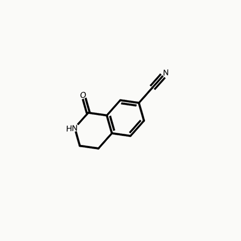 N#Cc1ccc2c(c1)C(=O)NCC2